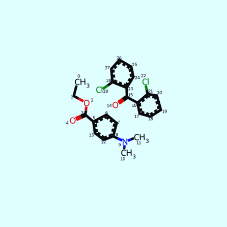 CCOC(=O)c1ccc(N(C)C)cc1.O=C(c1ccccc1Cl)c1ccccc1Cl